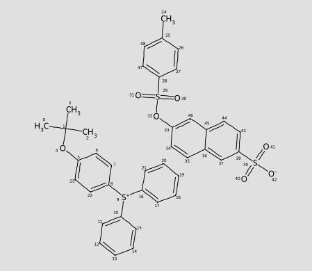 CC(C)(C)Oc1ccc([S+](c2ccccc2)c2ccccc2)cc1.Cc1ccc(S(=O)(=O)Oc2ccc3cc(S(=O)(=O)[O-])ccc3c2)cc1